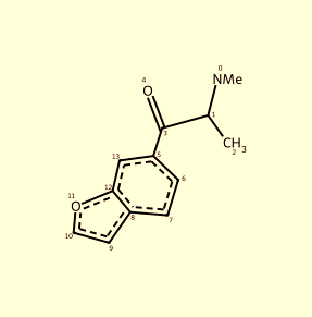 CNC(C)C(=O)c1ccc2ccoc2c1